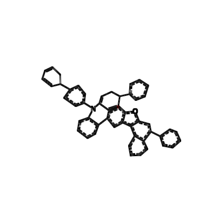 C1=CCC(c2ccc(N(C3=CCC(c4ccccc4)C=C3)c3ccccc3-c3ccc4oc5cc(-c6ccccc6)c6ccccc6c5c4c3)cc2)C=C1